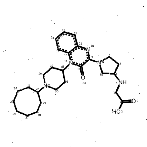 O=C(O)CNC1CCN(c2nc3ccccc3n(C3CCN(C4CCCCCCC4)CC3)c2=O)C1